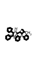 CC1CC[C@@H]([C@@H](C)N[C@@H](c2ccccc2)[C@@H](O)c2ccccc2)C1P(c1ccccc1)c1ccccc1